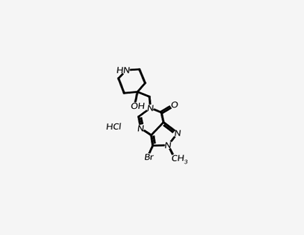 Cl.Cn1nc2c(=O)n(CC3(O)CCNCC3)cnc2c1Br